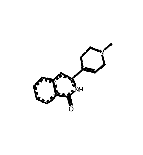 CN1CC=C(c2cc3ccccc3c(=O)[nH]2)CC1